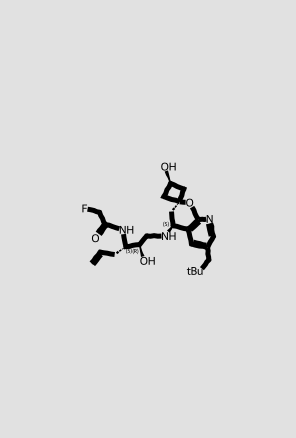 C=CC[C@H](NC(=O)CF)[C@H](O)CN[C@H]1C[C@]2(C[C@H](O)C2)Oc2ncc(CC(C)(C)C)cc21